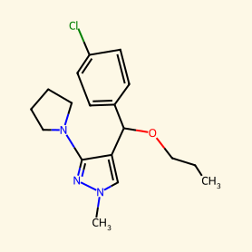 CCCOC(c1ccc(Cl)cc1)c1cn(C)nc1N1CCCC1